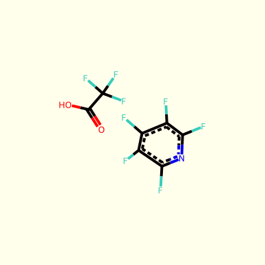 Fc1nc(F)c(F)c(F)c1F.O=C(O)C(F)(F)F